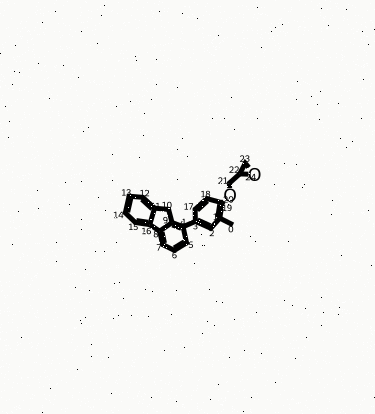 Cc1cc(-c2cccc3c2Cc2ccccc2-3)ccc1OCC1CO1